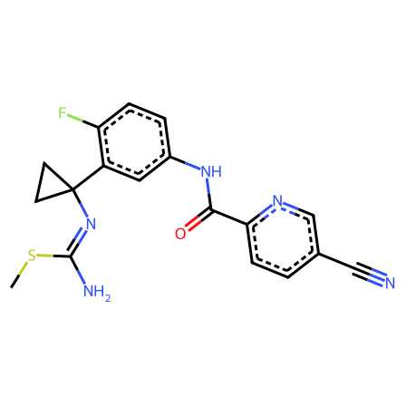 CS/C(N)=N\C1(c2cc(NC(=O)c3ccc(C#N)cn3)ccc2F)CC1